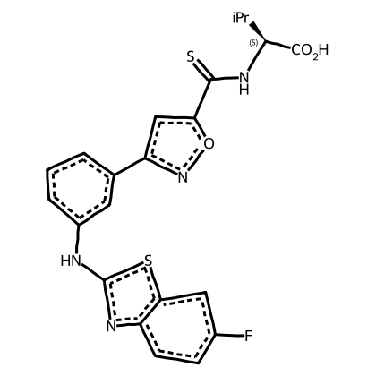 CC(C)[C@H](NC(=S)c1cc(-c2cccc(Nc3nc4ccc(F)cc4s3)c2)no1)C(=O)O